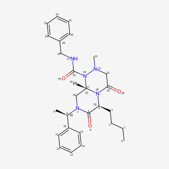 CCCC[C@H]1C(=O)N([C@H](C)c2ccccc2)C[C@H]2N1C(=O)CN(C)N2C(=O)NCc1ccccc1